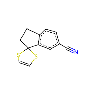 N#Cc1ccc2c(c1)C1(CC2)SC=CS1